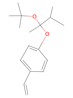 C=Cc1ccc(OC(C)(OC(C)(C)C)C(C)C)cc1